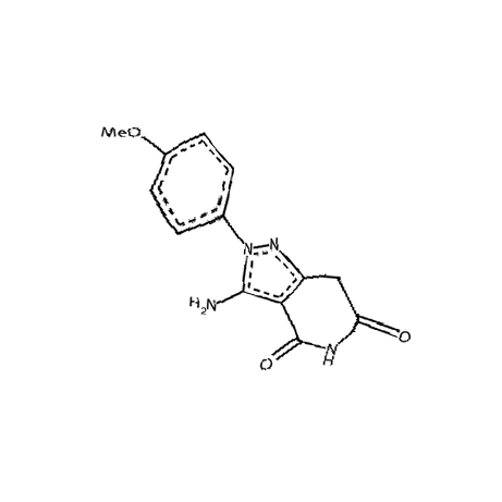 COc1ccc(-n2nc3c(c2N)C(=O)NC(=O)C3)cc1